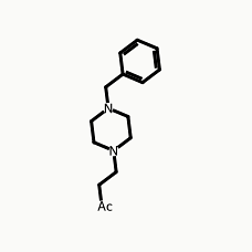 CC(=O)CCN1CCN(Cc2ccccc2)CC1